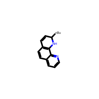 CCCCC1C=Cc2ccc3cccnc3c2N1